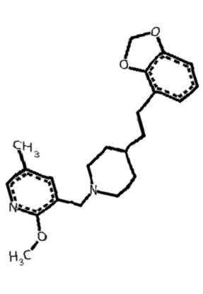 COc1ncc(C)cc1CN1CCC(CCc2cccc3c2OCO3)CC1